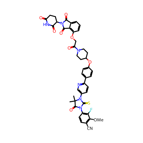 COc1c(C#N)ccc(N2C(=O)C(C)(C)N(c3ccc(-c4ccc(OC5CCN(C(=O)COc6cccc7c6C(=O)N(C6CCC(=O)NC6=O)C7=O)CC5)cc4)nc3)C2=S)c1F